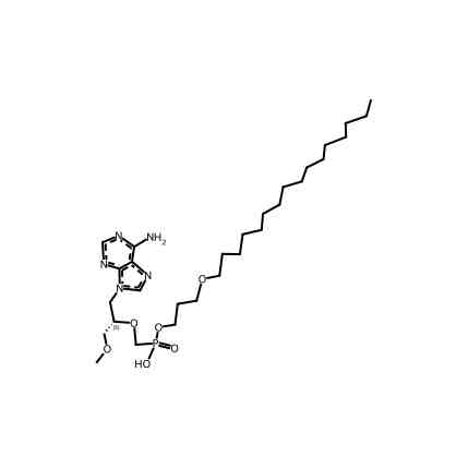 CCCCCCCCCCCCCCCCOCCCOP(=O)(O)CO[C@H](COC)Cn1cnc2c(N)ncnc21